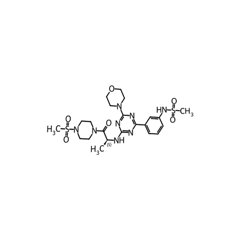 C[C@H](Nc1nc(-c2cccc(NS(C)(=O)=O)c2)nc(N2CCOCC2)n1)C(=O)N1CCN(S(C)(=O)=O)CC1